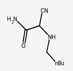 CCCCCNC(C#N)C(N)=O